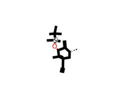 C#CC1=C(C)[C@@H](O[Si](C)(C)C(C)(C)C)C(=C)[C@H](C)C1